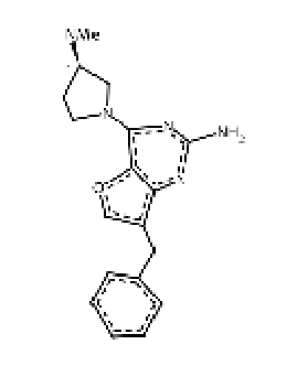 CN[C@@H]1CCN(c2nc(N)nc3c(Cc4ccccc4)coc23)C1